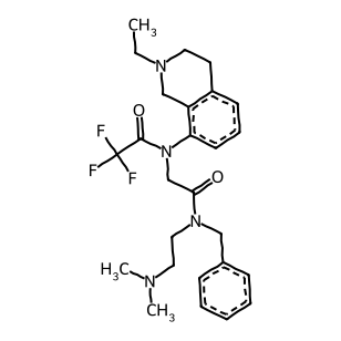 CCN1CCc2cccc(N(CC(=O)N(CCN(C)C)Cc3ccccc3)C(=O)C(F)(F)F)c2C1